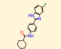 O=C(Nc1ccc(-c2nc3cc(F)ccc3[nH]2)cc1)C1CCCCC1